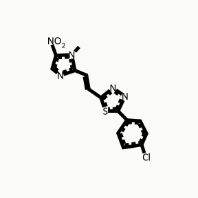 Cn1c([N+](=O)[O-])cnc1C=Cc1nnc(-c2ccc(Cl)cc2)s1